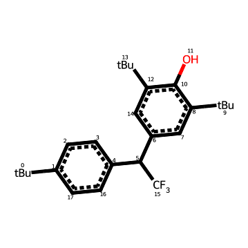 CC(C)(C)c1ccc(C(c2cc(C(C)(C)C)c(O)c(C(C)(C)C)c2)C(F)(F)F)cc1